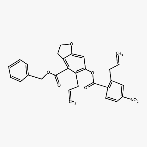 C=CCc1cc([N+](=O)[O-])ccc1C(=O)Oc1cc2c(c(C(=O)OCc3ccccc3)c1CC=C)CCO2